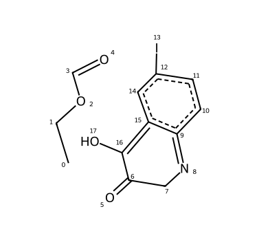 CCOC=O.O=C1CN=c2ccc(I)cc2=C1O